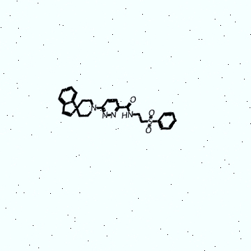 O=C(NCCS(=O)(=O)c1ccccc1)c1ccc(N2CCC3(C=Cc4ccccc43)CC2)nn1